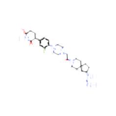 N=CN[C@H]1CCC2(CCN(C(=O)CN3CCN(c4ccc(C5CCC(=O)NC5=O)cc4F)CC3)CC2)C1